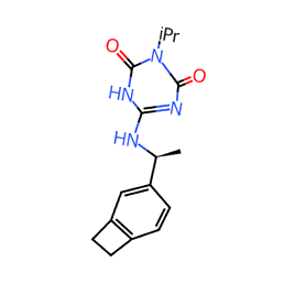 CC(C)n1c(=O)nc(N[C@@H](C)c2ccc3c(c2)CC3)[nH]c1=O